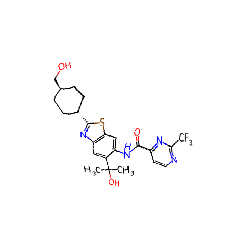 CC(C)(O)c1cc2nc([C@H]3CC[C@H](CO)CC3)sc2cc1NC(=O)c1ccnc(C(F)(F)F)n1